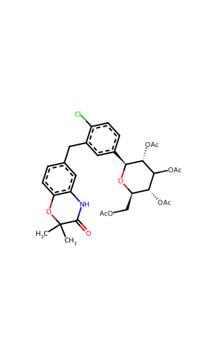 CC(=O)OC[C@H]1O[C@@H](c2ccc(Cl)c(Cc3ccc4c(c3)NC(=O)C(C)(C)O4)c2)[C@H](OC(C)=O)C(OC(C)=O)[C@@H]1OC(C)=O